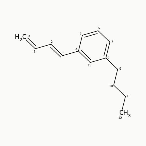 C=CC=Cc1cccc(CCCC)c1